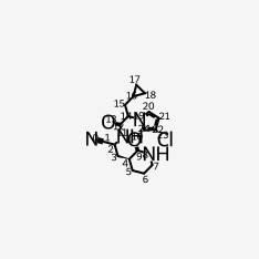 N#CC(C[C@@H]1CCCNC1=O)NC(=O)C(CC1CC1)n1ccc(Cl)c1